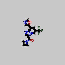 O=C(c1cnc2c(-c3cnco3)cc(C(F)(F)F)cn12)N1CCC1